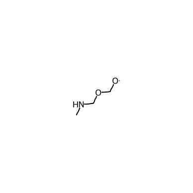 CNCOC[O]